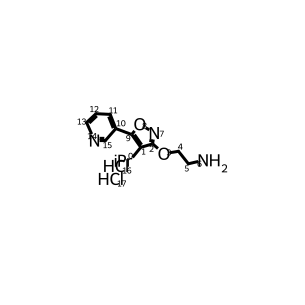 CC(C)c1c(OCCN)noc1-c1cccnc1.Cl.Cl